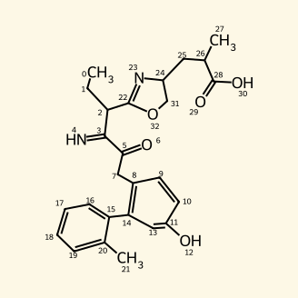 CCC(C(=N)C(=O)Cc1ccc(O)cc1-c1ccccc1C)C1=NC(CC(C)C(=O)O)CO1